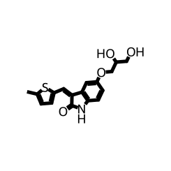 Cc1ccc(C=C2C(=O)Nc3ccc(OCC(O)CO)cc32)s1